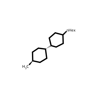 CCCCCCC1CCC([C@H]2CC[C@H](C)CC2)CC1